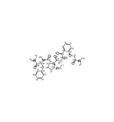 CC(C)C[C@@H](NC(=O)c1ccccc1OCC(=O)N(C)C)C(=O)N1CCC[C@@H]1C(=O)N(C)[C@@H](Cc1ccccc1)C(=O)N(C)C